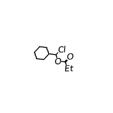 CCC(=O)OC(Cl)C1CCCCC1